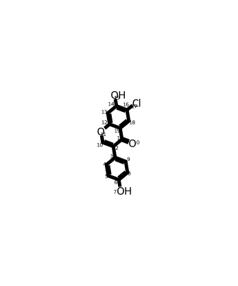 O=c1c(-c2ccc(O)cc2)coc2cc(O)c(Cl)cc12